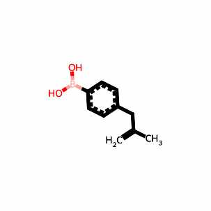 C=C(C)Cc1ccc(B(O)O)cc1